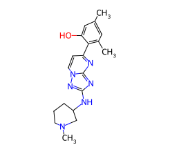 Cc1cc(C)c(-c2ccn3nc(NC4CCCN(C)C4)nc3n2)c(O)c1